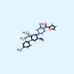 Cc1ccc(-c2cc(C#N)c(N3CCN(C(=O)c4ccco4)C(C)C3)nc2C(C)C)cc1